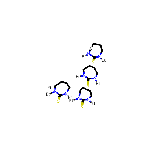 CCN1CCCCN(CC)C1=S.CCN1CCCCN(CC)C1=S.CCN1CCCCN(CC)C1=S.CCN1CCCCN(CC)C1=S.[Pt]